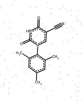 Cc1cc(C)c(-n2cc(C#N)c(=O)[nH]c2=O)c(C)c1